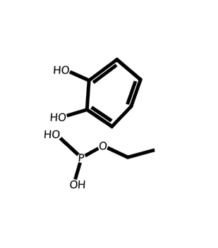 CCOP(O)O.Oc1ccccc1O